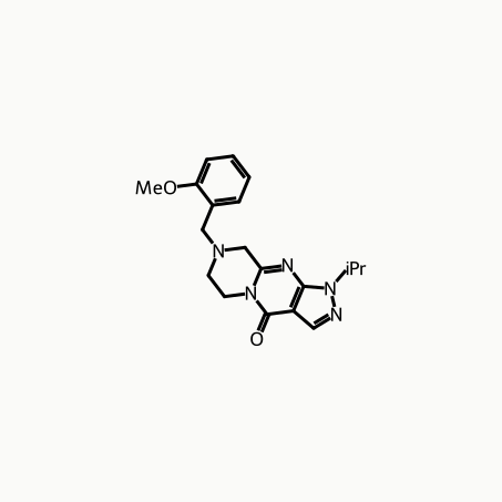 COc1ccccc1CN1CCn2c(nc3c(cnn3C(C)C)c2=O)C1